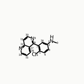 CNc1ccc(Cl)c(-c2nccc3ncccc23)c1